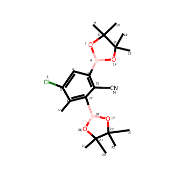 Cc1c(Cl)cc(B2OC(C)(C)C(C)(C)O2)c(C#N)c1B1OC(C)(C)C(C)(C)O1